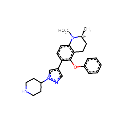 C[C@H]1CCc2c(ccc(-c3cnn(C4CCNCC4)c3)c2Oc2ccccc2)N1C(=O)O